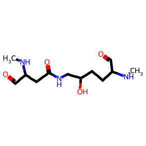 CNC(C=O)CCC(O)CNC(=O)CC(C=O)NC